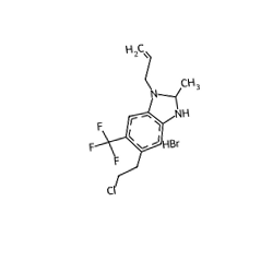 Br.C=CCN1c2cc(C(F)(F)F)c(CCCl)cc2NC1C